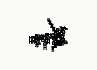 C/C=C(/C)C(=O)O[C@H]1C(C)=C2[C@H]([C@@H]1OC(=O)CCCCCCC)[C@@](C)(OC(C)=O)C[C@H](OC(=O)CCC)[C@@]1(O)[C@H]2OC(=O)[C@@]1(C)O.CN(C)C(=N)NC(=N)N.OC[C@H]1OC(O)C[C@@H](O)[C@@H]1O